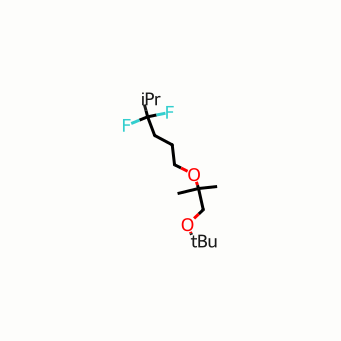 CC(C)C(F)(F)CCCOC(C)(C)COC(C)(C)C